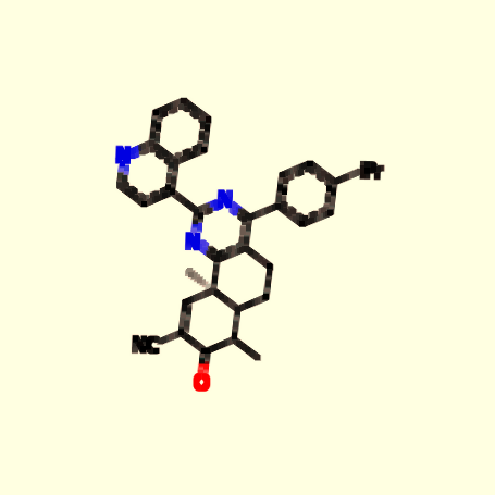 CC(C)c1ccc(-c2nc(-c3ccnc4ccccc34)nc3c2CCC2C(C)C(=O)C(C#N)=C[C@@]32C)cc1